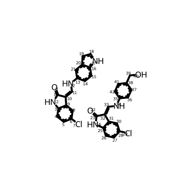 O=C1Nc2ccc(Cl)cc2/C1=C/Nc1ccc2[nH]ccc2c1.O=C1Nc2ccc(Cl)cc2/C1=C\Nc1ccc(CO)cc1